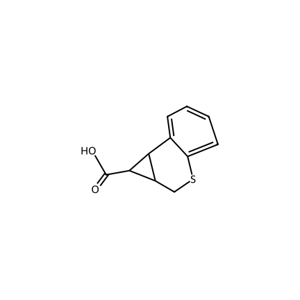 O=C(O)C1C2CSc3ccccc3C21